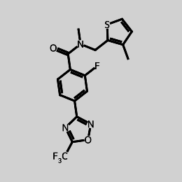 Cc1ccsc1CN(C)C(=O)c1ccc(-c2noc(C(F)(F)F)n2)cc1F